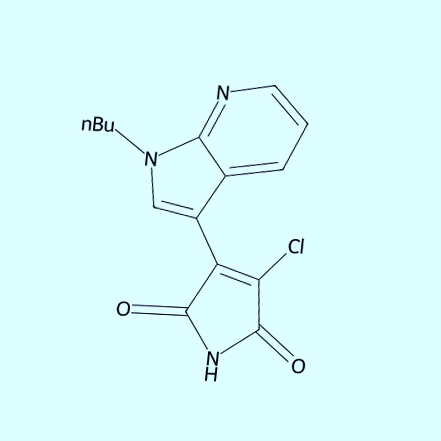 CCCCn1cc(C2=C(Cl)C(=O)NC2=O)c2cccnc21